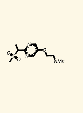 CNCCOc1cnc(C(C)S(C)(=O)=O)nc1